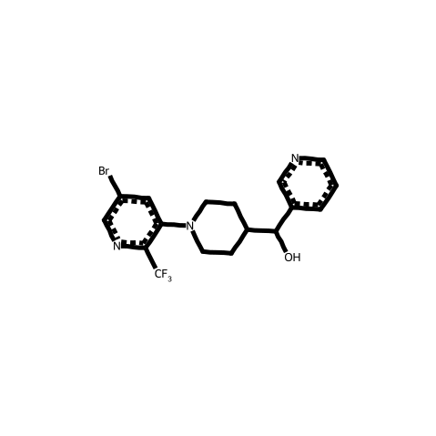 OC(c1cccnc1)C1CCN(c2cc(Br)cnc2C(F)(F)F)CC1